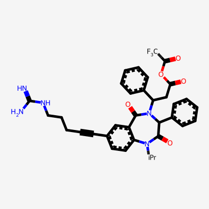 CC(C)N1C(=O)C(c2ccccc2)N(C(CC(=O)OC(=O)C(F)(F)F)c2ccccc2)C(=O)c2cc(C#CCCCNC(=N)N)ccc21